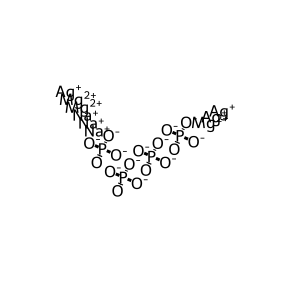 O=P([O-])([O-])[O-].O=P([O-])([O-])[O-].O=P([O-])([O-])[O-].O=P([O-])([O-])[O-].[Ag+].[Ag+].[Ag+].[Mg+2].[Mg+2].[Mg+2].[Na+].[Na+].[Na+]